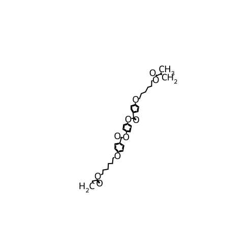 C=CC(=O)OCCCCCCOc1ccc(C(=O)Oc2ccc(OC(=O)c3ccc(OCCCCCCOC(=O)C(=C)C)cc3)cc2)cc1